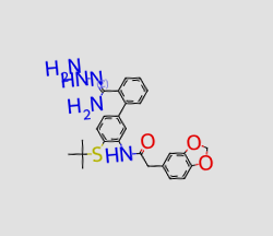 CC(C)(C)Sc1ccc(-c2ccccc2/C(N)=N/NN)cc1NC(=O)Cc1ccc2c(c1)OCO2